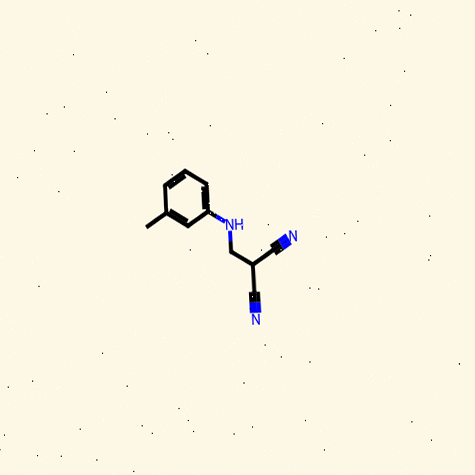 Cc1cccc(NCC(C#N)C#N)c1